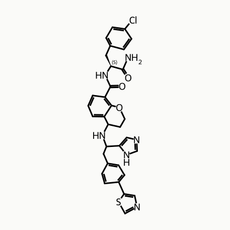 NC(=O)[C@H](Cc1ccc(Cl)cc1)NC(=O)c1cccc2c1OCCC2NC(Cc1ccc(-c2cncs2)cc1)c1cnc[nH]1